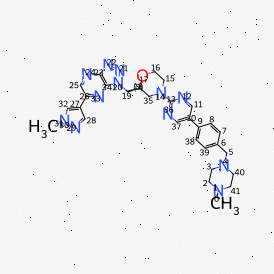 CN1CCN(Cc2ccc(-c3cnc(N4CCO[C@H](Cn5nnc6ncc(-c7cnn(C)c7)nc65)C4)nc3)cc2)CC1